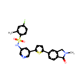 Cc1cc(F)ccc1S(=O)(=O)Nc1cncc(-c2ccc(-c3ccc4c(c3)CN(C)C4=O)s2)c1